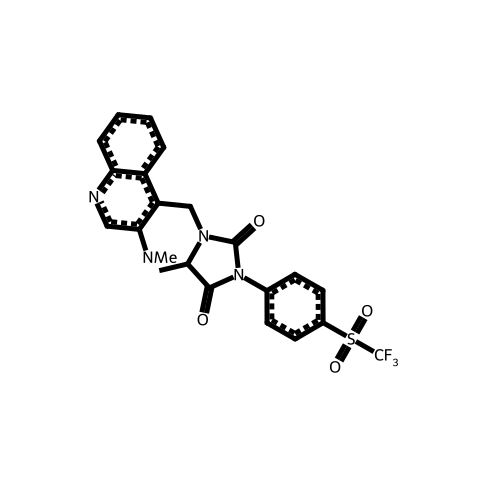 CNc1cnc2ccccc2c1CN1C(=O)N(c2ccc(S(=O)(=O)C(F)(F)F)cc2)C(=O)C1C